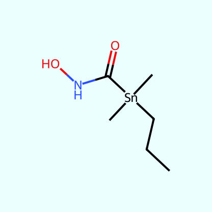 CC[CH2][Sn]([CH3])([CH3])[C](=O)NO